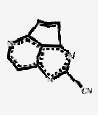 N#Cc1nc2c3c(nccc3n1)C=C2